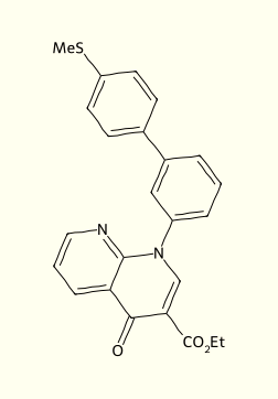 CCOC(=O)c1cn(-c2cccc(-c3ccc(SC)cc3)c2)c2ncccc2c1=O